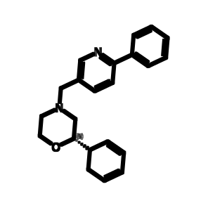 C1=CCC([C@H]2CN(Cc3ccc(-c4ccccc4)nc3)CCO2)C=C1